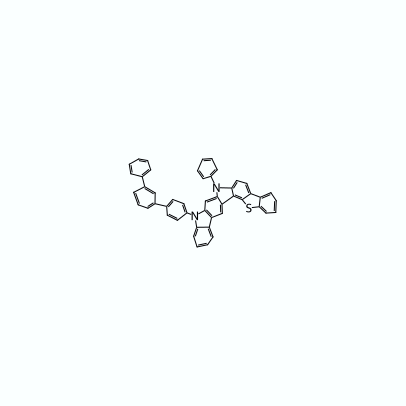 c1ccc(-c2cccc(-c3ccc(-n4c5ccccc5c5cc6c7c8sc9ccccc9c8ccc7n(-c7ccccc7)c6cc54)cc3)c2)cc1